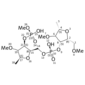 COC[C@H]1O[C@@H](C)C(OC)[C@H]1O[P@@](=O)(O)OC[C@H]1O[C@@H](C)C(OC)[C@H]1O[P@@](=O)(O)OC